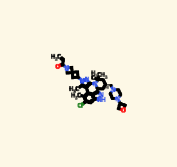 C=CC(=O)N1CC2(CC(n3nc(N4CC[C@@H](CN5CCN(C6COC6)CC5)CC4(C)C)c(-c4c(C)c(Cl)cc5[nH]ncc45)c3C)C2)C1